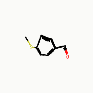 CSc1ccc([C]=O)cc1